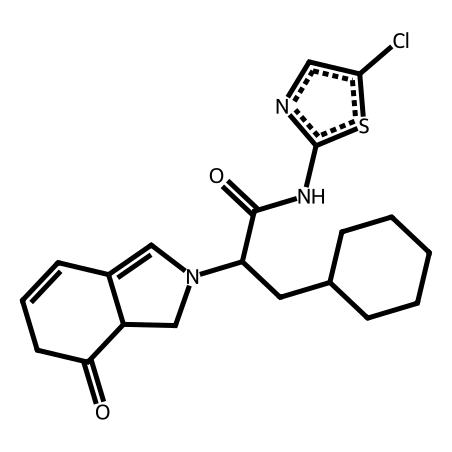 O=C1CC=CC2=CN(C(CC3CCCCC3)C(=O)Nc3ncc(Cl)s3)CC12